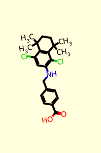 CC1(C)CCC(C)(C)c2c(Cl)c(NCc3ccc(C(=O)O)cc3)cc(Cl)c21